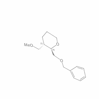 COC[C@@H]1CCCO[C@H]1COCc1ccccc1